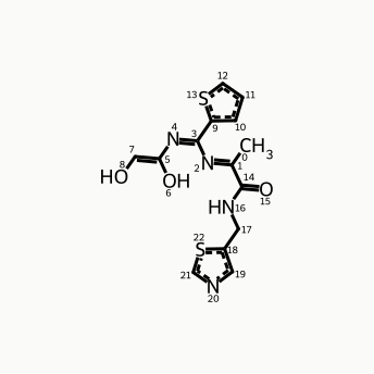 C\C(=N/C(=N\C(O)=C\O)c1cccs1)C(=O)NCc1cncs1